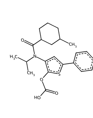 CC1CCCC(C(=O)N(c2cc(-c3ccccc3)sc2OC(=O)O)C(C)C)C1